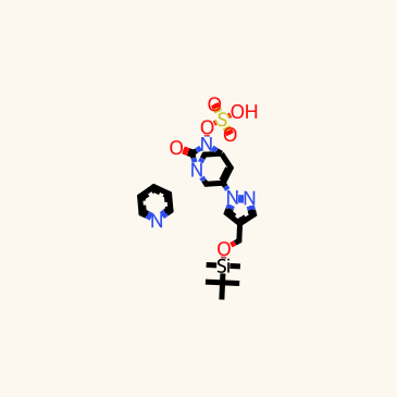 CC(C)(C)[Si](C)(C)OCc1cnn(C2=CC3CN(C2)C(=O)N3OS(=O)(=O)O)c1.c1ccncc1